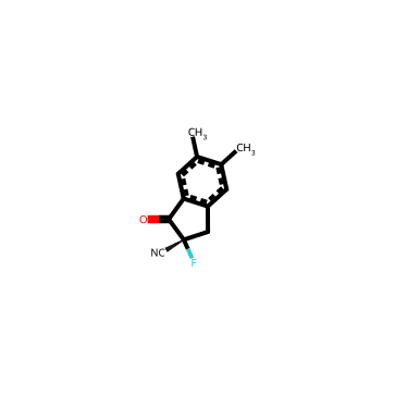 Cc1cc2c(cc1C)C(=O)[C@](F)(C#N)C2